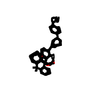 CC1(C)c2ccccc2C2(c3ccccc3Oc3c(-c4cccc(-c5ccc(C#N)cc5)c4)cccc32)c2ccccc21